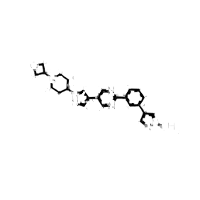 Cn1cc(-c2cccc(-c3ncc(-c4cnn(C5CCN(C6COC6)CC5)c4)cn3)c2)cn1